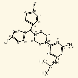 Cc1cc(NC(C)C)nc(N2CCN(C(c3ccc(F)cc3)c3ccc(F)cc3)CC2)n1